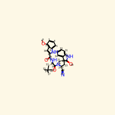 COc1cccc2[nH]c(C(=O)N[C@@H](CC(C)(C)C)C(=O)N3C[C@]4(C[C@H]3C#N)C(=O)Nc3ccccc34)cc12